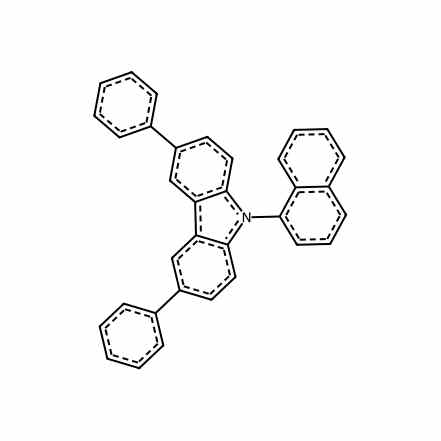 c1ccc(-c2ccc3c(c2)c2cc(-c4ccccc4)ccc2n3-c2cccc3ccccc23)cc1